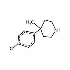 [CH2]C1(c2ccc(Cl)cc2)CCNCC1